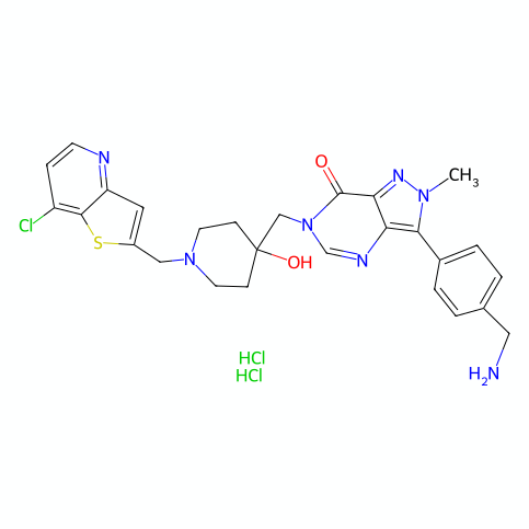 Cl.Cl.Cn1nc2c(=O)n(CC3(O)CCN(Cc4cc5nccc(Cl)c5s4)CC3)cnc2c1-c1ccc(CN)cc1